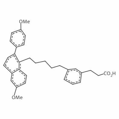 COc1ccc(-c2ccc3cc(OC)ccc3c2CCCCCc2cccc(CCC(=O)O)c2)cc1